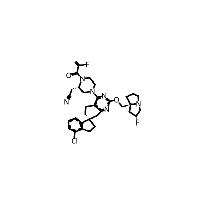 C=C(F)C(=O)N1CCN(c2nc(OC[C@@]34CCCN3C[C@H](F)C4)nc3c2CC[C@@]2(CCc4c(Cl)cccc42)C3)C[C@@H]1CC#N